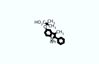 CCCn1c(-c2ccccc2)c(C)c2cc(OC(C)(C)C(=O)O)ccc21